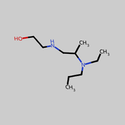 CCCN(CC)C(C)CNCCO